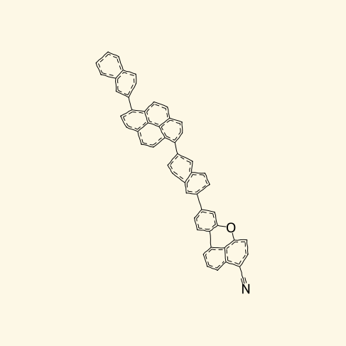 N#Cc1ccc2c3c(cccc13)-c1ccc(-c3ccc4cc(-c5ccc6ccc7c(-c8ccc9ccccc9c8)ccc8ccc5c6c87)ccc4c3)cc1O2